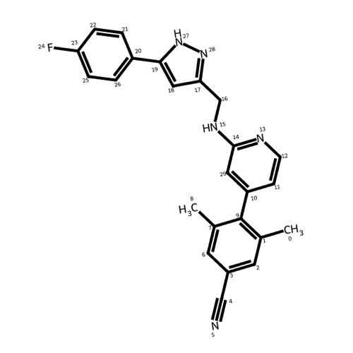 Cc1cc(C#N)cc(C)c1-c1ccnc(NCc2cc(-c3ccc(F)cc3)[nH]n2)c1